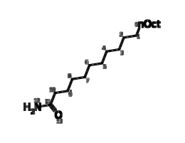 CCCCCCCCCCCCCCCC[CH]CC(N)=O